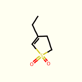 CCC1=CS(=O)(=O)CC1